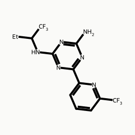 CCC(Nc1nc(N)nc(-c2cccc(C(F)(F)F)n2)n1)C(F)(F)F